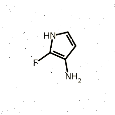 Nc1cc[nH]c1F